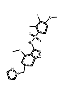 COc1ccc(S(=O)(=O)Nc2noc3cc(Cn4cccn4)cc(OC)c23)c(C)c1F